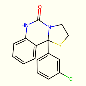 O=C1Nc2ccccc2C2(c3cccc(Cl)c3)SCCN12